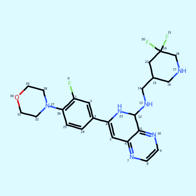 Fc1cc(C2=Cc3nccnc3C(NCC3CNCC(F)(F)C3)N2)ccc1N1CCOCC1